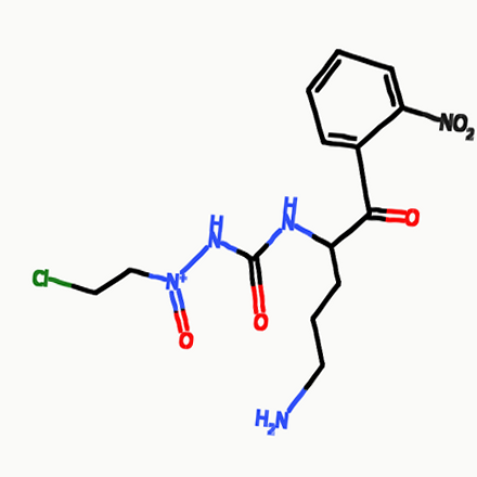 NCCCC(NC(=O)N[N+](=O)CCCl)C(=O)c1ccccc1[N+](=O)[O-]